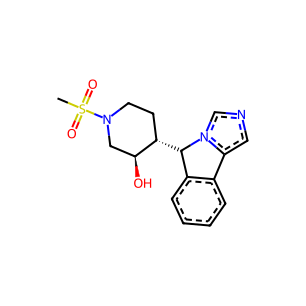 CS(=O)(=O)N1CC[C@H](C2c3ccccc3-c3cncn32)[C@@H](O)C1